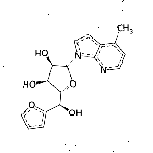 Cc1ccnc2c1ccn2[C@@H]1O[C@H]([C@@H](O)c2ccco2)[C@@H](O)[C@H]1O